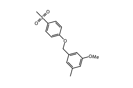 COc1cc(C)cc(COc2ccc(S(C)(=O)=O)cc2)c1